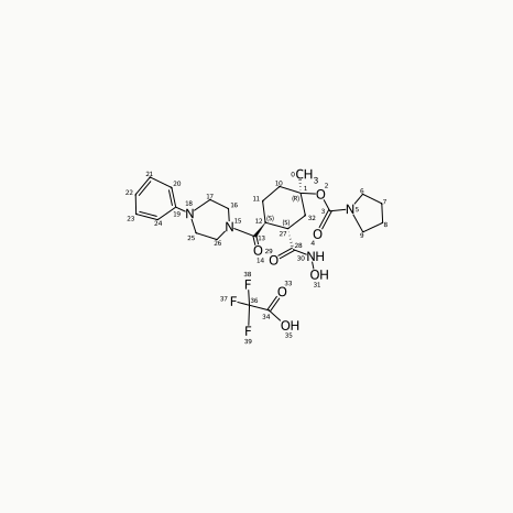 C[C@@]1(OC(=O)N2CCCC2)CC[C@H](C(=O)N2CCN(c3ccccc3)CC2)[C@@H](C(=O)NO)C1.O=C(O)C(F)(F)F